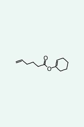 C=CCCCC(=O)OC1=CCCCC1